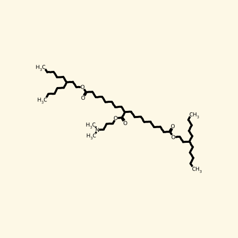 CCCCCC(CCCCC)CCOC(=O)CCCCCCCCC(CCCCCCCC(=O)OCCC(CCCCC)CCCCC)C(=O)OCCCN(C)C